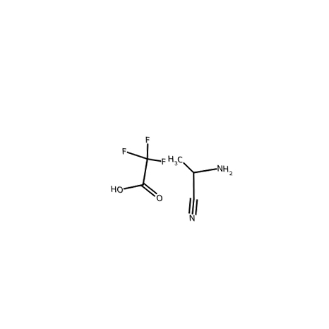 CC(N)C#N.O=C(O)C(F)(F)F